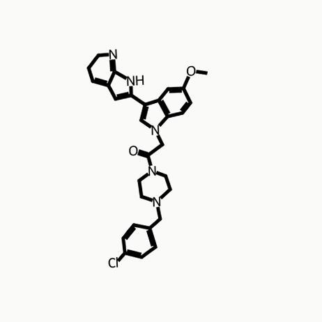 COc1ccc2c(c1)c(-c1cc3c([nH]1)=NCCC=3)cn2CC(=O)N1CCN(Cc2ccc(Cl)cc2)CC1